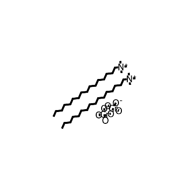 CCCCCCCCCCCCCCCC[N+](C)(C)C.CCCCCCCCCCCCCCCC[N+](C)(C)C.[O]=[Cr](=[O])([O-])[O][Cr](=[O])(=[O])[O-]